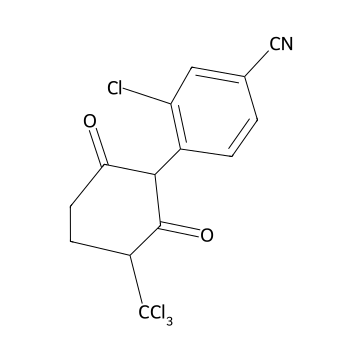 N#Cc1ccc(C2C(=O)CCC(C(Cl)(Cl)Cl)C2=O)c(Cl)c1